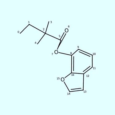 CCC(C)(C)C(=O)Oc1cccc2ccoc12